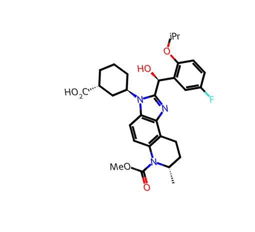 COC(=O)N1c2ccc3c(nc([C@@H](O)c4cc(F)ccc4OC(C)C)n3[C@@H]3CCC[C@@H](C(=O)O)C3)c2CC[C@@H]1C